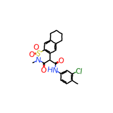 Cc1ccc(NC(=O)C2C(=O)N(C)S(=O)(=O)c3cc4c(cc32)CCCC4)cc1Cl